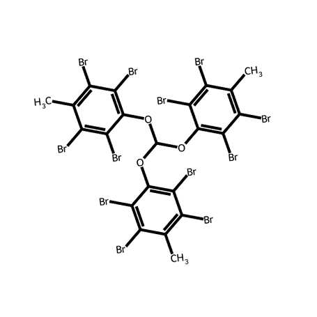 Cc1c(Br)c(Br)c(OC(Oc2c(Br)c(Br)c(C)c(Br)c2Br)Oc2c(Br)c(Br)c(C)c(Br)c2Br)c(Br)c1Br